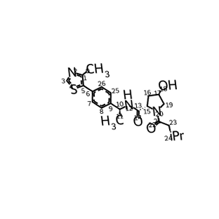 Cc1ncsc1-c1ccc([C@H](C)NC(=O)[C@@H]2C[C@@H](O)CN2C(=O)CC(C)C)cc1